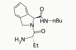 CCCCNC(=O)[C@@H]1c2ccccc2CN1C(=O)[C@@H](N)CC